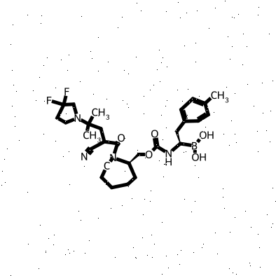 Cc1ccc(C[C@H](NC(=O)OC[C@H]2CCCCCN2C(=O)C(C#N)CC(C)(C)N2CCC(F)(F)C2)B(O)O)cc1